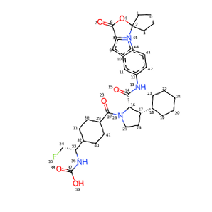 CCC1(CC)OC(=O)c2cc3cc(NC(=O)[C@@H]4[C@H](C5CCCCC5)CCN4C(=O)C4CCC([C@@H](CF)NC(=O)O)CC4)ccc3n21